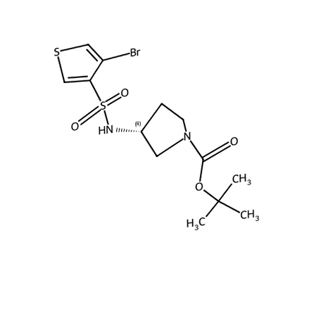 CC(C)(C)OC(=O)N1CC[C@@H](NS(=O)(=O)c2cscc2Br)C1